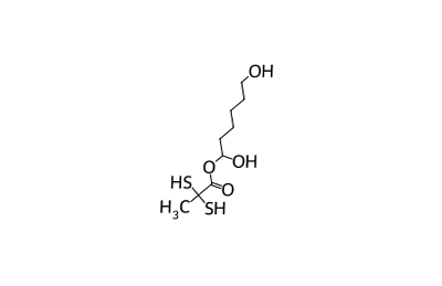 CC(S)(S)C(=O)OC(O)CCCCCO